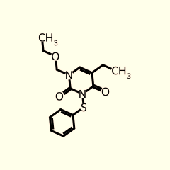 CCOCn1cc(CC)c(=O)n(Sc2ccccc2)c1=O